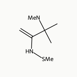 C=C(NSC)C(C)(C)NC